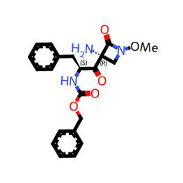 CON1C[C@@](N)(C(=O)[C@H](Cc2ccccc2)NC(=O)OCc2ccccc2)C1=O